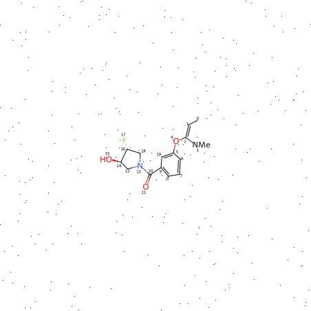 C/C=C(\NC)Oc1cccc(C(=O)N2C[C@@H](O)[C@H](F)C2)c1